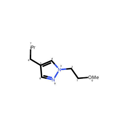 COCCn1cc(CC(C)C)cn1